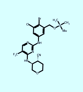 CC(C)(C)[Si](C)(C)OCc1cc(Nc2ncc(C(F)(F)F)c(N[C@@H]3COCC[C@H]3C#N)n2)cc(Cl)c1Br